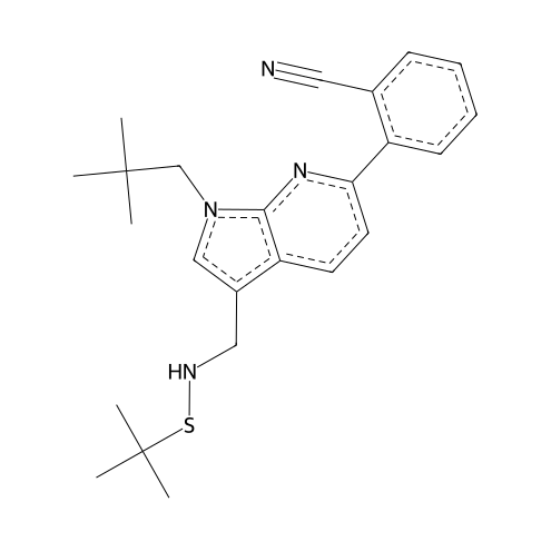 CC(C)(C)Cn1cc(CNSC(C)(C)C)c2ccc(-c3ccccc3C#N)nc21